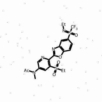 CCN=S(=O)(c1ccc2oc(-c3ncc(N(C)C(C)=O)cc3S(=O)(=O)CC)nc2c1)C(F)(F)F